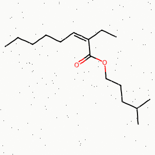 CCCCCC=C(CC)C(=O)OCCCC(C)C